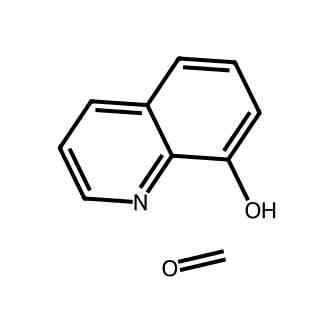 C=O.Oc1cccc2cccnc12